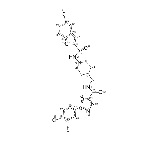 O=C(NN1CCC(CNC(=O)c2nnc(-c3ccc(Cl)c(F)c3)o2)CC1)c1cc2cc(Cl)ccc2o1